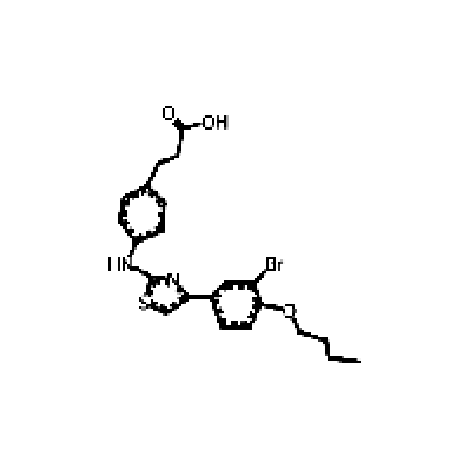 CCCCOc1ccc(-c2csc(Nc3ccc(CCC(=O)O)cc3)n2)cc1Br